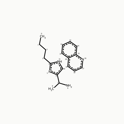 CCCCc1nc(C(C)N)c[nH]1.c1ccc2ncccc2c1